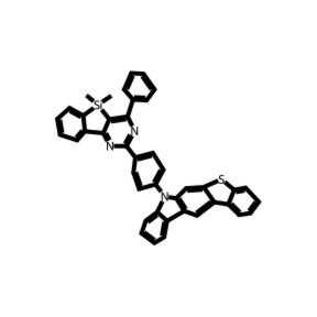 C[Si]1(C)c2ccccc2-c2nc(-c3ccc(-n4c5ccccc5c5cc6c(cc54)sc4ccccc46)cc3)nc(-c3ccccc3)c21